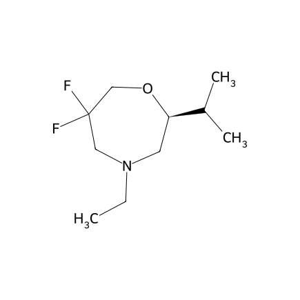 CCN1C[C@H](C(C)C)OCC(F)(F)C1